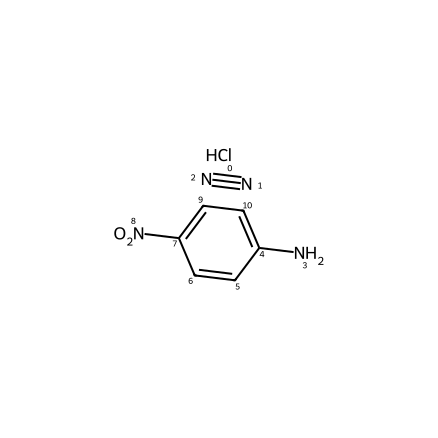 Cl.N#N.Nc1ccc([N+](=O)[O-])cc1